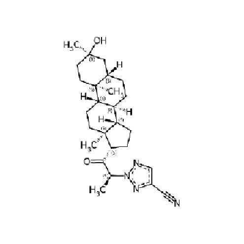 C[C@@H](C(=O)[C@H]1CC[C@H]2[C@@H]3CC[C@H]4C[C@](C)(O)CC[C@]4(C)[C@H]3CC[C@]12C)n1ncc(C#N)n1